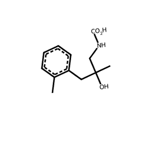 Cc1ccccc1CC(C)(O)CNC(=O)O